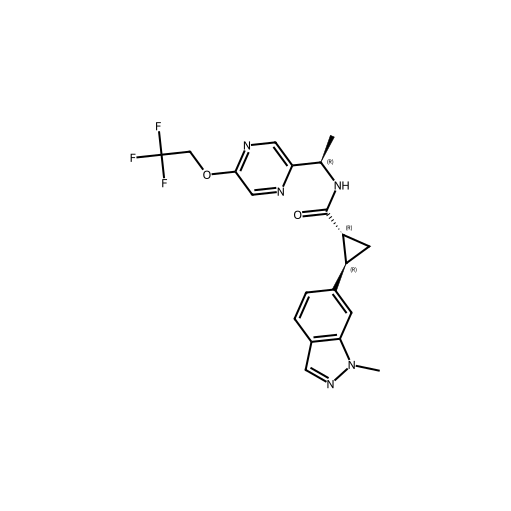 C[C@@H](NC(=O)[C@@H]1C[C@H]1c1ccc2cnn(C)c2c1)c1cnc(OCC(F)(F)F)cn1